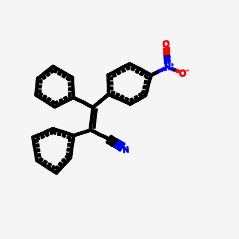 N#C/C(=C(/c1ccccc1)c1ccc([N+](=O)[O-])cc1)c1ccccc1